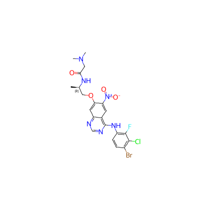 C[C@H](COc1cc2ncnc(Nc3ccc(Br)c(Cl)c3F)c2cc1[N+](=O)[O-])NC(=O)CN(C)C